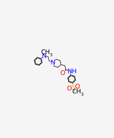 CN(CCN1CCC(CC(=O)Nc2ccc(S(C)(=O)=O)cc2)CC1)c1ccccc1